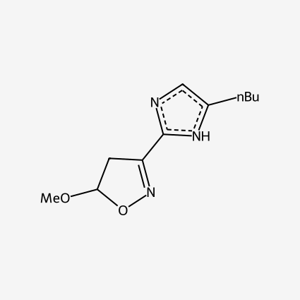 CCCCc1cnc(C2=NOC(OC)C2)[nH]1